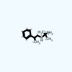 CC(CNC(C)(C)N)c1ccccc1